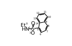 CCNS(=O)(=O)c1cccc2ccccc12